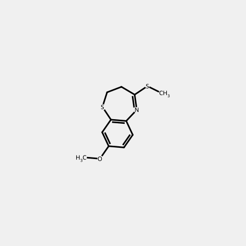 COc1ccc2c(c1)SCCC(SC)=N2